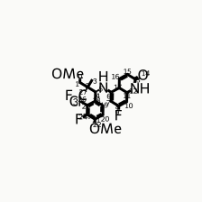 COC[C@@](C)([C@@H](NC1=CC(F)=CC2NC(=O)C=CC12)c1ccc(OC)c(F)c1Cl)C(F)(F)F